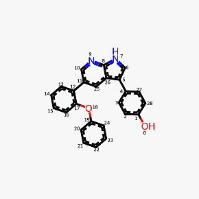 Oc1ccc(-c2c[nH]c3ncc(-c4ccccc4Oc4ccccc4)cc23)cc1